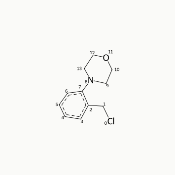 ClCc1ccccc1N1CCOCC1